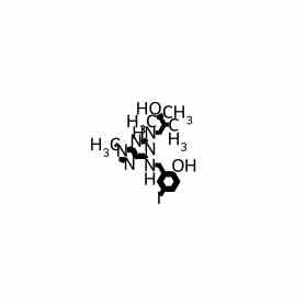 CC(CNc1nc(NCc2cc(I)ccc2O)c2ncn(C)c2n1)C(C)(C)O